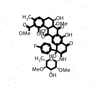 COC(=O)c1c(C)cc2c(c1O)[C@]1(O)C(=O)c3cc4c(c(O)c3C(=O)[C@]1(OC)[C@H](O)C2)C(=O)C=C(N[C@H]1O[C@@H](C)[C@H](OC)[C@@H](O)[C@H]1OC)C4(O)c1ccc(F)cc1